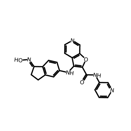 O=C(Nc1cccnc1)c1oc2cnccc2c1Nc1ccc2c(c1)CCC2=NO